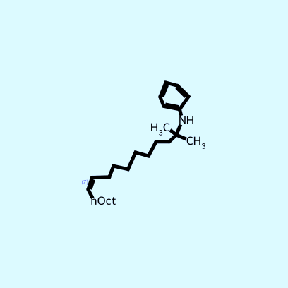 CCCCCCCC/C=C\CCCCCCCC(C)(C)Nc1ccccc1